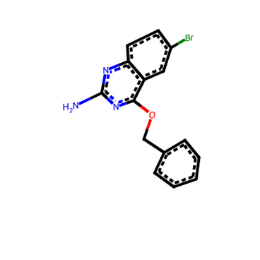 Nc1nc(OCc2ccccc2)c2cc(Br)ccc2n1